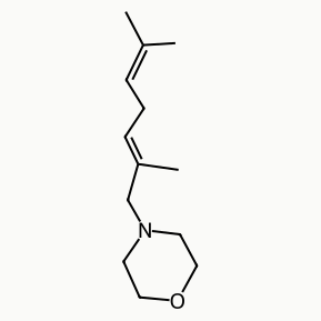 CC(C)=CC/C=C(\C)CN1CCOCC1